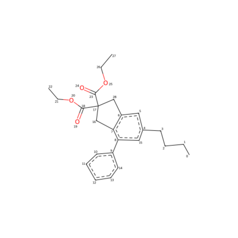 CCCCc1cc2c(c(-c3ccccc3)c1)CC(C(=O)OCC)(C(=O)OCC)C2